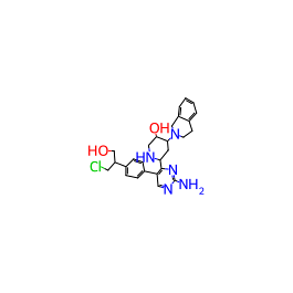 Nc1ncc(-c2ccc(C(CO)CCl)cc2)c(C2CC(N3CCc4ccccc4C3)C(O)CN2)n1